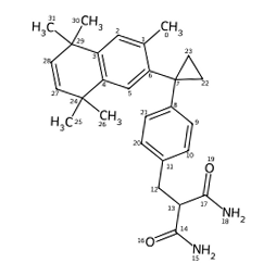 Cc1cc2c(cc1C1(c3ccc(CC(C(N)=O)C(N)=O)cc3)CC1)C(C)(C)C=CC2(C)C